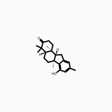 Cc1cc(O)c2c(c1)C[C@H]1[C@]3(C)CCC(=O)C(C)(C)[C@H]3CC[C@]21C